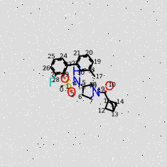 CS(=O)(=O)N[C@H]1CCN(C(=O)C23CC(C2)C3)[C@H]1Cc1cccc(-c2cccc(F)c2)c1